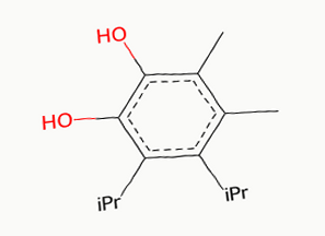 Cc1c(C)c(C(C)C)c(C(C)C)c(O)c1O